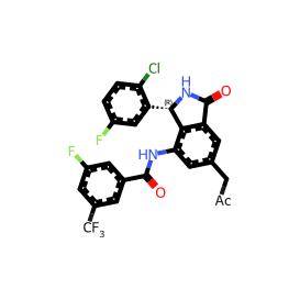 CC(=O)Cc1cc(NC(=O)c2cc(F)cc(C(F)(F)F)c2)c2c(c1)C(=O)N[C@H]2c1cc(F)ccc1Cl